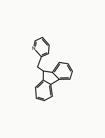 c1ccc(CC2c3ccccc3-c3ccccc32)nc1